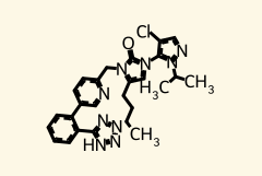 CCCCc1cn(-c2c(Cl)cnn2C(C)C)c(=O)n1Cc1ccc(-c2ccccc2-c2nnn[nH]2)cn1